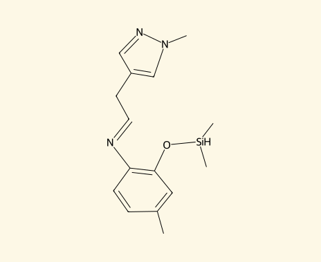 Cc1ccc(N=CCc2cnn(C)c2)c(O[SiH](C)C)c1